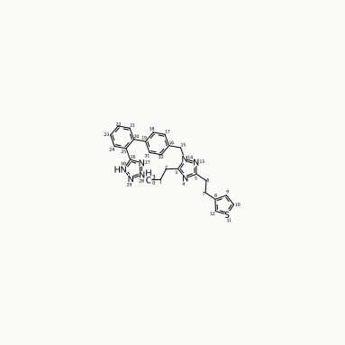 CCCc1nc(CCc2ccsc2)nn1Cc1ccc(-c2ccccc2-c2nnn[nH]2)cc1